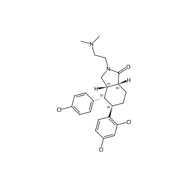 CN(C)CCN1C[C@H]2[C@@H](c3ccc(Cl)cc3)[C@H](c3ccc(Cl)cc3Cl)CC[C@H]2C1=O